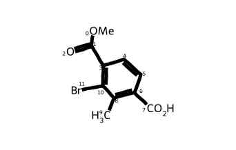 COC(=O)c1ccc(C(=O)O)c(C)c1Br